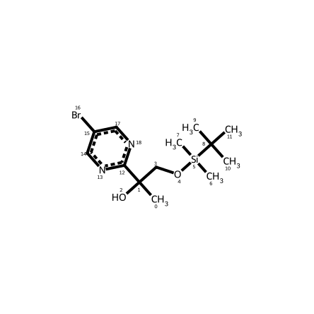 CC(O)(CO[Si](C)(C)C(C)(C)C)c1ncc(Br)cn1